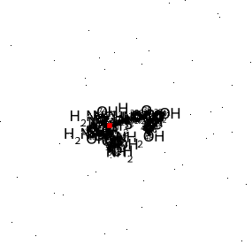 NCC1O[C@H](O[C@@H]2C(N)C[C@@H](N)C(O)C2OC2OC(CSCCNC(=S)Nc3ccc(C4CC5(OC4=O)c4ccc(O)cc4Oc4cc(O)ccc45)cc3)C(O[C@H]3OC(CN)[C@@H](O)C(O)C3N)C2O)C(N)C(O)[C@@H]1O